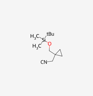 [C-]#[N+]CC1(CO[Si](C)(C)C(C)(C)C)CC1